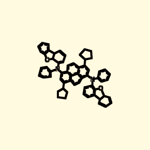 C1=CC2Oc3c(cccc3N(c3ccccc3)c3cc(C4CCCC4)c4ccc5c(N(C6=CC=CC7c8ccccc8OC67)c6ccccc6)cc(C6CCCC6)c6ccc3c4c65)C2C=C1